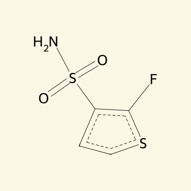 NS(=O)(=O)c1ccsc1F